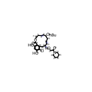 CCCCOC1/C=C/C[C@@H](C)OC(=O)c2c(O)cc(O)c(Cl)c2CC(=N/OCC(=O)N2CCCCC2)/C=C/C1